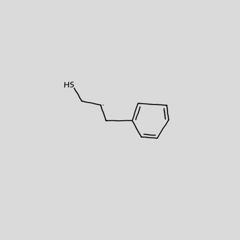 SC[CH]Cc1ccccc1